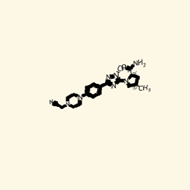 C[C@H]1C[C@@H](C(N)=O)N(c2nc(-c3ccc(N4CCN(CC#N)CC4)cc3)nn2C)C1